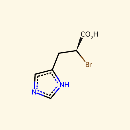 O=C(O)[C@@H](Br)Cc1cnc[nH]1